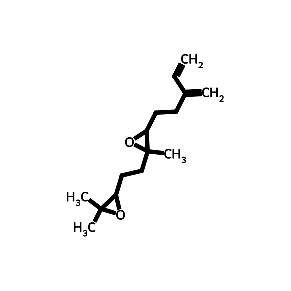 C=CC(=C)CCC1OC1(C)CCC1OC1(C)C